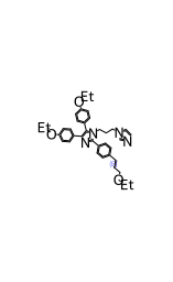 CCOC/C=C/c1ccc(-c2nc(-c3ccc(OCC)cc3)c(-c3ccc(OCC)cc3)n2CCCn2ccnc2)cc1